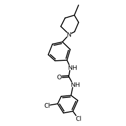 CC1CCN(c2cccc(NC(=O)Nc3cc(Cl)cc(Cl)c3)c2)CC1